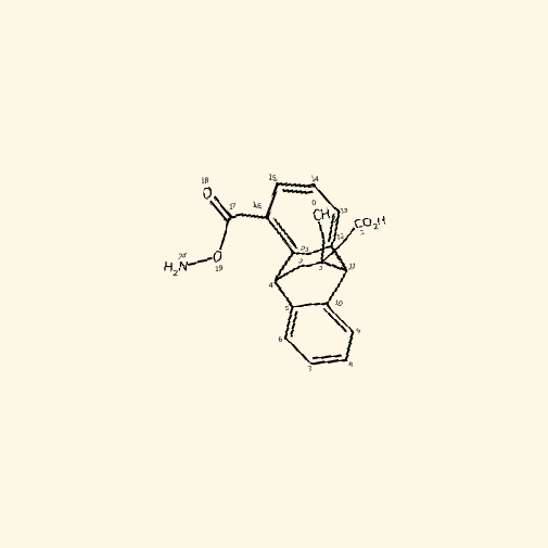 CC1(C(=O)O)CC2c3ccccc3C1c1cccc(C(=O)ON)c12